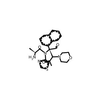 CC(=O)C(N1CCOCC1)[C@]([C]=O)(c1cccc2ccccc12)N(C(=O)[C@H](C)N)c1cscn1